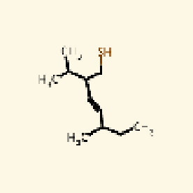 CCC(C)C=CC(CS)C(C)C